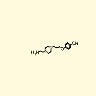 N#Cc1ccc(OCCCN2CCN(CCN)CC2)cc1